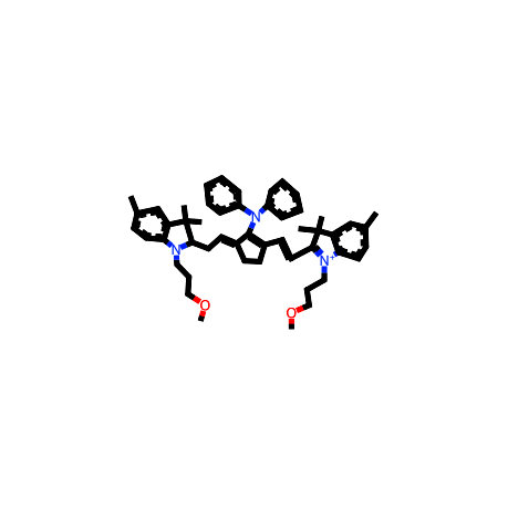 COCCCN1c2ccc(C)cc2C(C)(C)C1C/C=C1\CCC(/C=C/C2=[N+](CCCOC)c3ccc(C)cc3C2(C)C)=C1N(c1ccccc1)c1ccccc1